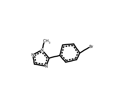 Cn1ncnc1-c1ccc(Br)cc1